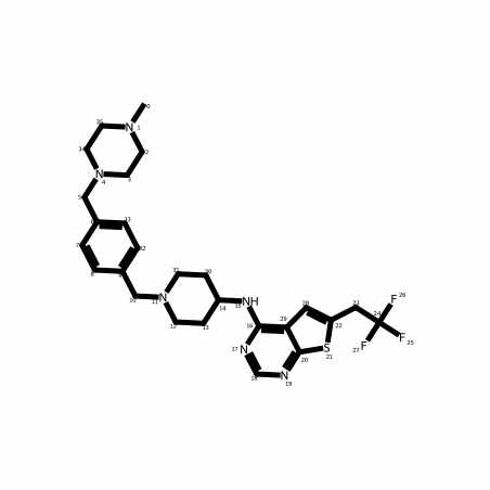 CN1CCN(Cc2ccc(CN3CCC(Nc4ncnc5sc(CC(F)(F)F)cc45)CC3)cc2)CC1